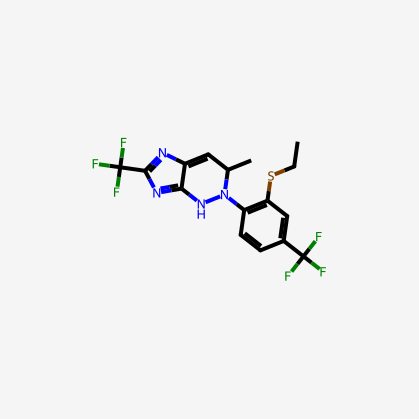 CCSc1cc(C(F)(F)F)ccc1N1NC2=NC(C(F)(F)F)=NC2=CC1C